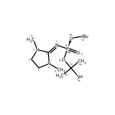 CN1CCN(C)C1=N[P@@](=O)(OC(C)(C)C)OC(C)(C)S